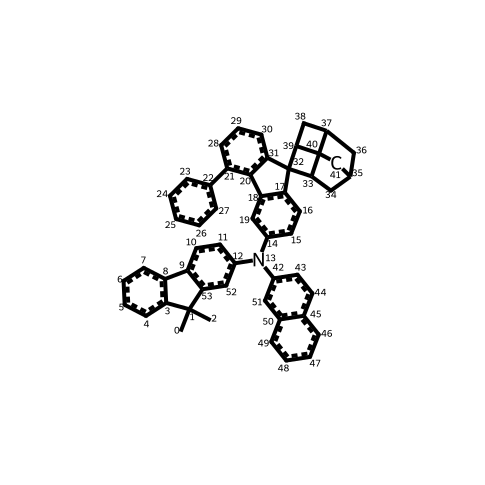 CC1(C)c2ccccc2-c2ccc(N(c3ccc4c(c3)-c3c(-c5ccccc5)cccc3C43C4CC5CC6CC3C64C5)c3ccc4ccccc4c3)cc21